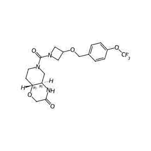 O=C1CO[C@@H]2CCN(C(=O)N3CC(OCc4ccc(OC(F)(F)F)cc4)C3)C[C@H]2N1